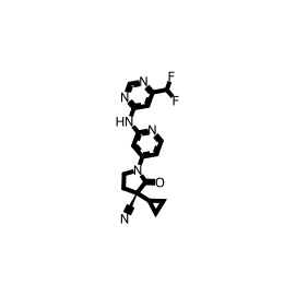 N#C[C@@]1(C2CC2)CCN(c2ccnc(Nc3cc(C(F)F)ncn3)c2)C1=O